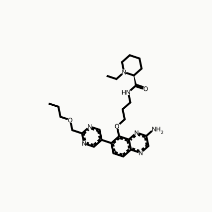 CCCOCc1ncc(-c2ccc3ncc(N)nc3c2OCCCNC(=O)[C@@H]2CCCCN2CC)cn1